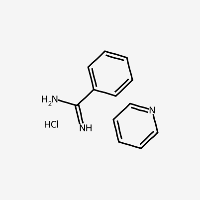 Cl.N=C(N)c1ccccc1.c1ccncc1